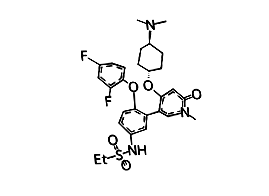 CCS(=O)(=O)Nc1ccc(Oc2ccc(F)cc2F)c(-c2cn(C)c(=O)cc2O[C@H]2CC[C@H](N(C)C)CC2)c1